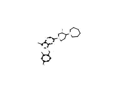 Cc1nn([C@H](C)c2ccc(Cl)cc2Cl)c2nc(N3CCC(N4CCCCCC4)[C@H](C)C3)cnc12